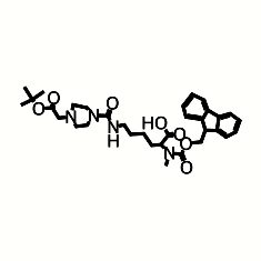 CN(C(=O)OCC1c2ccccc2-c2ccccc21)C(CCCCNC(=O)N1CCN(CC(=O)OC(C)(C)C)CC1)C(=O)O